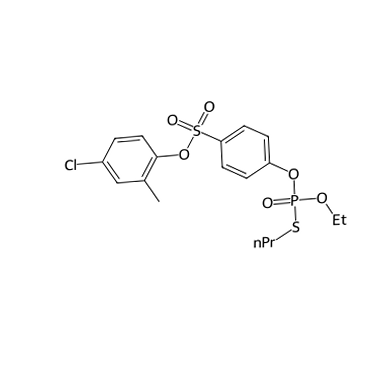 CCCSP(=O)(OCC)Oc1ccc(S(=O)(=O)Oc2ccc(Cl)cc2C)cc1